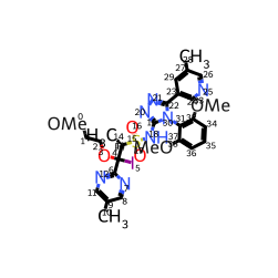 COCCOC(I)(c1ncc(C)cn1)[C@@H](C)S(=O)(=O)Nc1nnc(-c2cncc(C)c2)n1-c1c(OC)cccc1OC